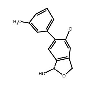 Cc1cccc(-c2cc3c(cc2Cl)COB3O)c1